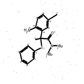 CCCCN(CCCC)C(=O)C(C)(Sc1ccccc1)c1cc(C)ccc1N